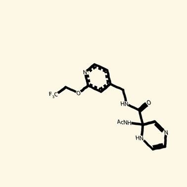 CC(=O)NC1(C(=O)NCc2ccnc(OCC(F)(F)F)c2)C=NC=CN1